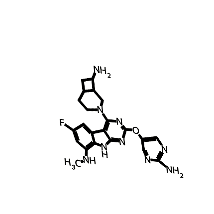 CNc1cc(F)cc2c1[nH]c1nc(Oc3cnc(N)nc3)nc(N3CCC4CC(N)C4C3)c12